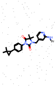 CC(C)Nc1cc(CN2C(=O)N(c3ccc(C4CC4(C)C)cc3)C(=O)C2(C)C)ccn1